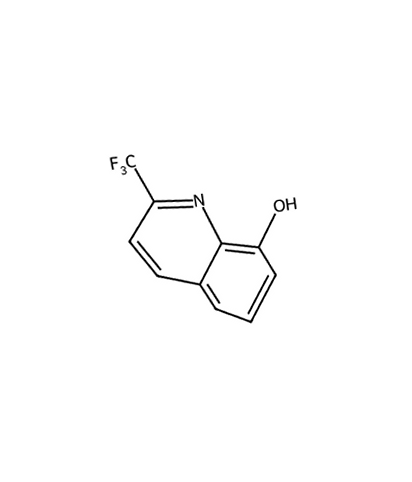 Oc1cccc2ccc(C(F)(F)F)nc12